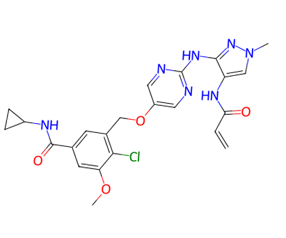 C=CC(=O)Nc1cn(C)nc1Nc1ncc(OCc2cc(C(=O)NC3CC3)cc(OC)c2Cl)cn1